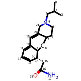 CC(C)CN1CCC2CC3C(=CC=C[C@H]3CC(N)=O)C=C2C1